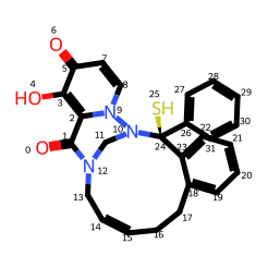 O=C1c2c(O)c(=O)ccn2N2CN1C/C=C\CCc1ccccc1[C@@]2(S)c1ccccc1